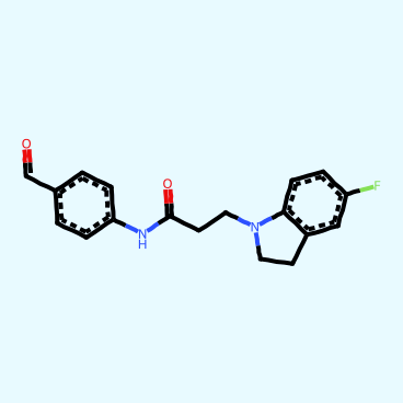 O=Cc1ccc(NC(=O)CCN2CCc3cc(F)ccc32)cc1